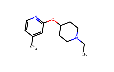 Cc1ccnc(OC2CCN(CC(F)(F)F)CC2)c1